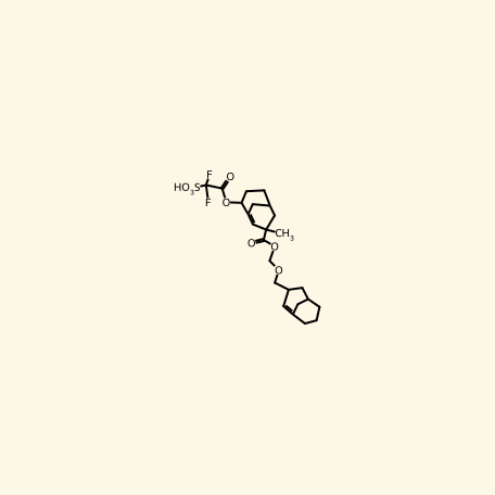 CC1(C(=O)OCOCC2C=C3CCCC(C3)C2)C=C2CC(CCC2OC(=O)C(F)(F)S(=O)(=O)O)C1